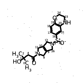 CC(C)(O)CC(=O)N1CC2=C(C1)CN([S+]([O-])c1ccc3c(c1)NCCO3)C2